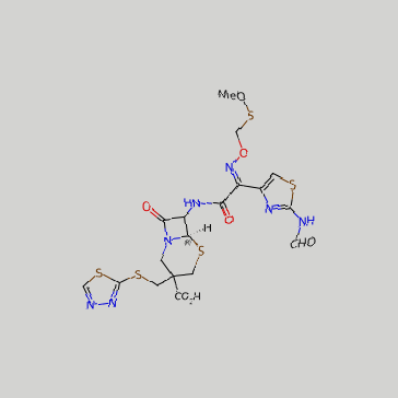 COSCON=C(C(=O)NC1C(=O)N2CC(CSc3nncs3)(C(=O)O)CS[C@H]12)c1csc(NC=O)n1